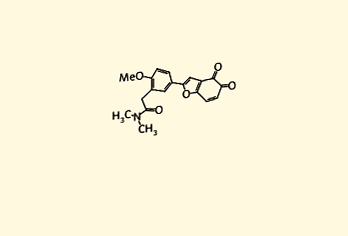 COc1ccc(-c2cc3c(o2)C=CC(=O)C3=O)cc1CC(=O)N(C)C